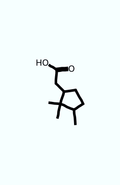 CC1CCC(CC(=O)O)C1(C)C